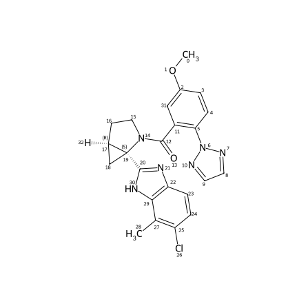 COc1ccc(-n2nccn2)c(C(=O)N2CC[C@@H]3C[C@@]32c2nc3ccc(Cl)c(C)c3[nH]2)c1